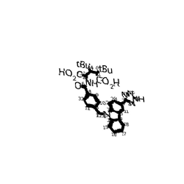 CC(C)(C)C(C(=O)O)C(C(NC(=O)c1ccc(Cn2c3ccccc3c3cc(-c4nn[nH]n4)ccc32)cc1)C(=O)O)C(C)(C)C